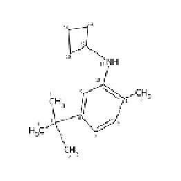 Cc1ccc(C(C)(C)C)cc1NC1CCC1